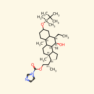 CC[C@@H]1C2CC(O[Si](C)(C)C(C)(C)C)CC[C@]2(C)C2CC[C@@]3(C)C(CC[C@@H]3[C@H](C)COC(=O)n3ccnc3)[C@@H]2[C@@H]1O